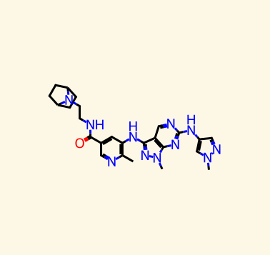 Cc1ncc(C(=O)NCCN2C3CCC2CC3)cc1Nc1nn(C)c2nc(Nc3cnn(C)c3)ncc12